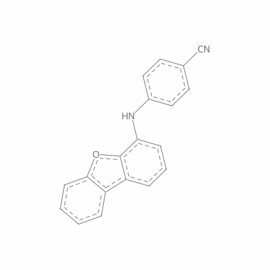 N#Cc1ccc(Nc2cccc3c2oc2ccccc23)cc1